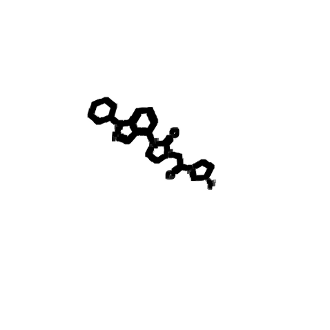 O=C(CN1CCN(c2cccc3c2cnn3C2CCCCC2)C1=O)N1CC[C@H](F)C1